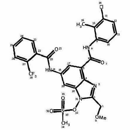 COCc1nc2c(C(=O)Nc3cccc(Cl)c3C)cc(NC(=O)c3ccccc3C(F)(F)F)cc2n1OS(C)(=O)=O